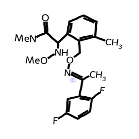 CNC(=O)C(NOC)c1cccc(C)c1CO/N=C(\C)c1cc(F)ccc1F